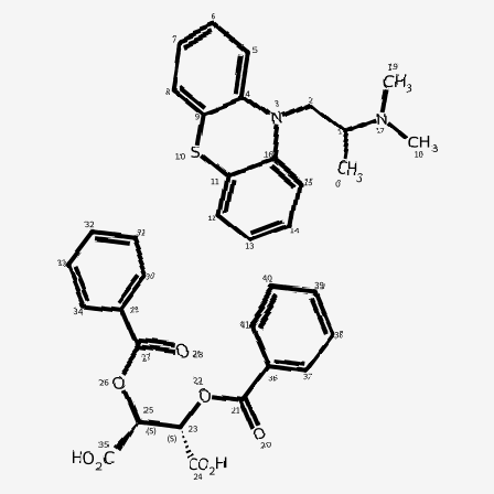 CC(CN1c2ccccc2Sc2ccccc21)N(C)C.O=C(O[C@H](C(=O)O)[C@H](OC(=O)c1ccccc1)C(=O)O)c1ccccc1